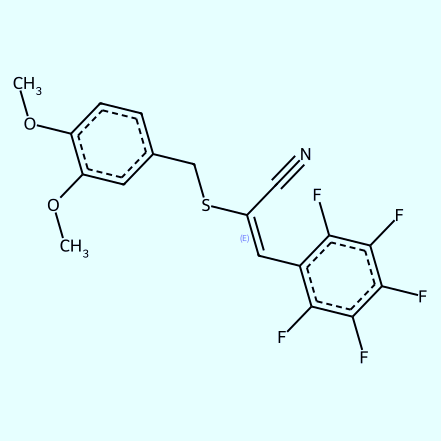 COc1ccc(CS/C(C#N)=C/c2c(F)c(F)c(F)c(F)c2F)cc1OC